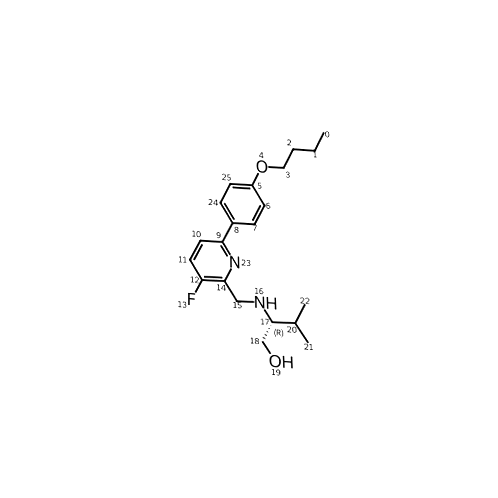 CCCCOc1ccc(-c2ccc(F)c(CN[C@@H](CO)C(C)C)n2)cc1